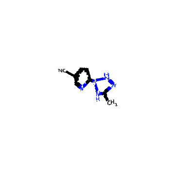 CC1=NNN(c2ccc(C#N)cn2)N1